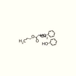 C=CCOC(=O)C=C.Oc1ccccc1.Oc1ccccc1